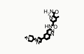 Cc1cc(C(=O)Nc2cc3cc(-c4cnn(C5CCN(C)CC5)c4)ccc3nn2)cnc1C(N)=O